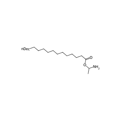 CCCCCCCCCCCCCCCCCCCCCC(=O)OC(C)N